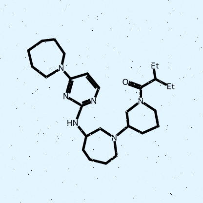 CCC(CC)C(=O)N1CCCC(N2CCCCC(Nc3nccc(N4CCCCCC4)n3)C2)C1